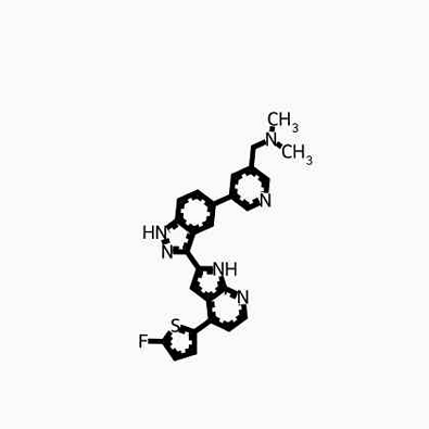 CN(C)Cc1cncc(-c2ccc3[nH]nc(-c4cc5c(-c6ccc(F)s6)ccnc5[nH]4)c3c2)c1